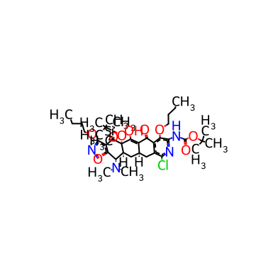 CCCCOc1noc2c1C(=O)[C@@]1(O[Si](C)(C)C(C)(C)C)C(O)=C3C(=O)c4c(c(Cl)nc(NC(=O)OC(C)(C)C)c4OCCCC)C[C@H]3C[C@H]1[C@@H]2N(C)C